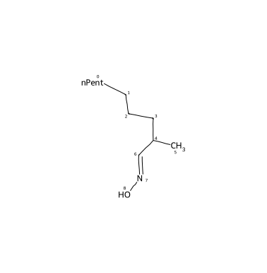 CCCCCCCCC(C)C=NO